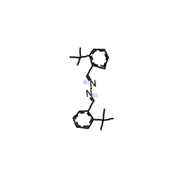 CC(C)(C)c1ccccc1/C=N/N=C/c1ccccc1C(C)(C)C